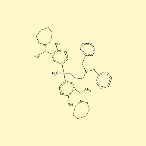 CC(c1cc(C(C)(CCCN(Cc2ccccc2)Cc2ccccc2)c2ccc(O)c(C(C)N3CCCCCC3)c2)ccc1O)N1CCCCCC1